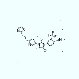 CC1(C)C(=O)N(c2ccc(C#N)c(C(F)(F)F)c2)C(=S)N1c1ccc(CCCc2nccs2)nc1